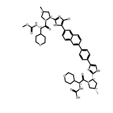 COC(=O)N[C@H](C(=O)N1C[C@@H](C)C[C@H]1c1nc(Cl)c(-c2ccc3cc(-c4ccc(-c5c[nH]c([C@@H]6C[C@H](C)CN6C(=O)[C@@H](NC(=O)O)C6CCOCC6)n5)cc4)ccc3c2)[nH]1)C1CCOCC1